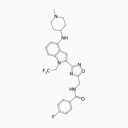 CN1CCC(Nc2cccc3c2cc(-c2noc(CNC(=O)c4ccc(F)cc4)n2)n3CC(F)(F)F)CC1